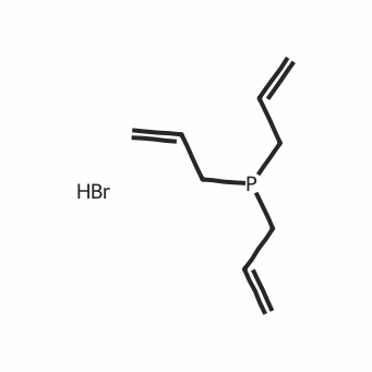 Br.C=CCP(CC=C)CC=C